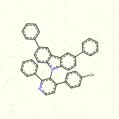 N#Cc1ccc(-c2ccnc(-c3ccccc3)c2-n2c3ccc(-c4ccccc4)cc3c3cc(-c4ccccc4)ccc32)cc1